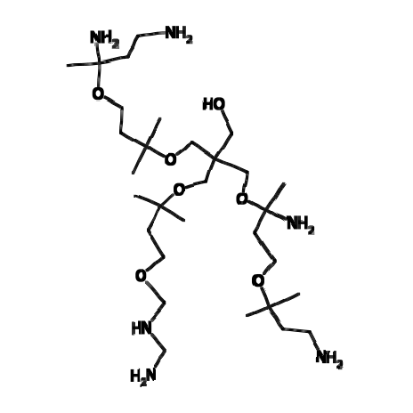 CC(C)(CCN)OCCC(C)(N)OCC(CO)(COC(C)(C)CCOCNCN)COC(C)(C)CCOC(C)(N)CCN